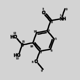 CNC(=O)c1ccc(OC)c(B(O)O)c1